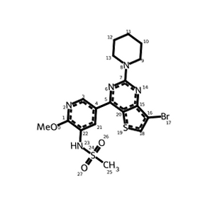 COc1ncc(-c2nc(N3CCCCC3)nc3c(Br)csc23)cc1NS(C)(=O)=O